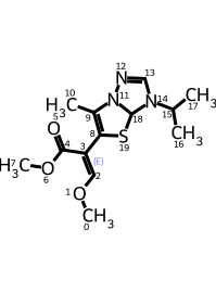 CO/C=C(\C(=O)OC)C1=C(C)N2N=CN(C(C)C)C2S1